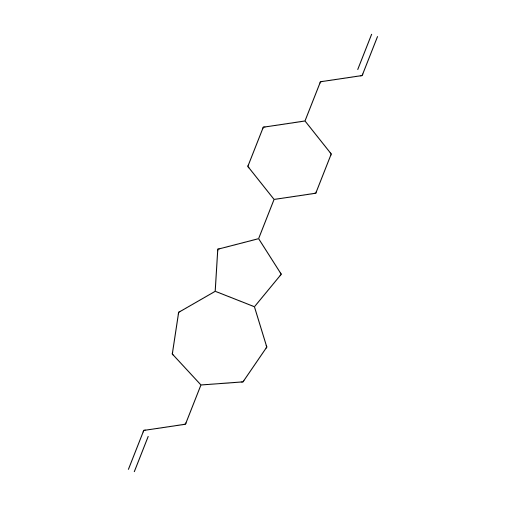 C=CCC1CCC(C2CC3CCC(CC=C)CCC3C2)CC1